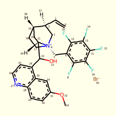 C=C[C@H]1C[N@@+]2(Cc3c(F)c(F)c(F)c(F)c3F)CC[C@H]1C[C@H]2C(O)c1ccnc2ccc(OC)cc12.[Br-]